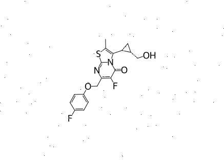 Cc1sc2nc(COc3ccc(F)cc3)c(F)c(=O)n2c1C1CC1CO